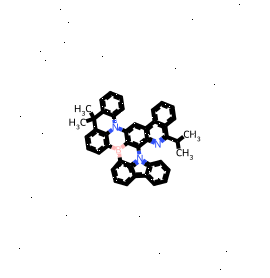 CC(C)c1nc2c3c4c(cc2c2ccccc12)N1c2ccccc2C(C)(C)c2cccc(c21)B4c1cccc2c4ccccc4n-3c12